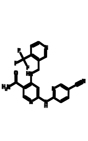 N#Cc1ccc(Nc2cc(NCc3cnccc3C(F)(F)F)c(C(N)=O)cn2)nc1